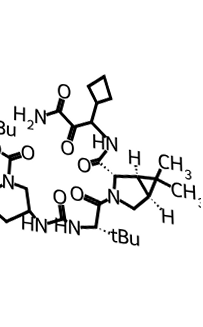 CC(C)(C)OC(=O)N1CCCC(NC(=O)N[C@H](C(=O)N2C[C@H]3[C@@H]([C@H]2C(=O)NC(C(=O)C(N)=O)C2CCC2)C3(C)C)C(C)(C)C)C1